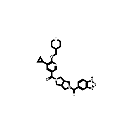 O=C(c1cnc(OCC2CCOCC2)c(C2CC2)c1)N1CC2CN(C(=O)c3ccc4[nH]nnc4c3)CC2C1